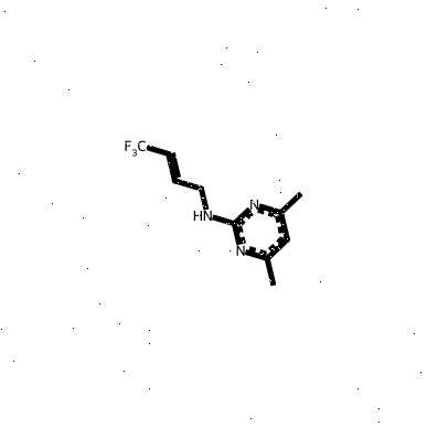 Cc1cc(C)nc(NCC=CC(F)(F)F)n1